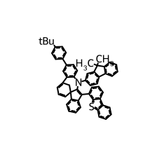 CC(C)(C)c1ccc(-c2ccc3c(c2)C2=CC=CC4(C2)C(=C(c2cccc5c2sc2ccccc25)c2ccccc24)N3c2ccc3c(c2)C(C)(C)c2ccccc2-3)cc1